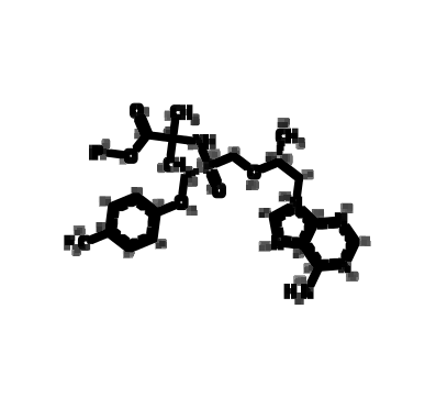 CC(C)OC(=O)C(C)(C)N[P@@](=O)(COc1ccc(C(F)(F)F)cc1)CO[C@H](C)Cn1cnc2c(N)ncnc21